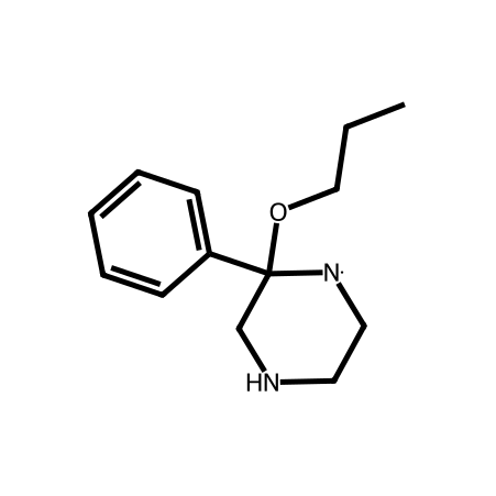 CCCOC1(c2ccccc2)CNCC[N]1